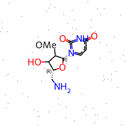 COC1C(O)[C@@H](CN)O[C@H]1n1ccc(=O)[nH]c1=O